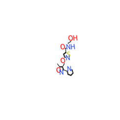 Cc1onc(-c2ccccn2)c1COc1cc(C(=O)NCCO)sn1